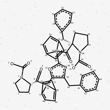 O=C([O-])N1CCC[C@H]1C(=O)[N+]1(c2oc([N+]3(C(=O)[C@@]4(Cc5ccccc5)CCCN4C(=O)[O-])C4=CC=C3C=C4)nc2Cc2ccccc2)C2=CC=C1C=C2